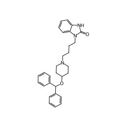 O=c1[nH]c2ccccc2n1CCCCN1CCC(OC(c2ccccc2)c2ccccc2)CC1